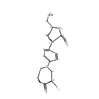 O=C1CCN(c2ccc(N3CC(CO)OC3=O)cc2)CC1F